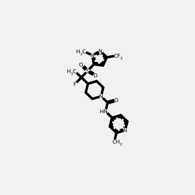 Cc1cc(NC(=O)N2CCC(C(C)(F)S(=O)(=O)c3cc(C(F)(F)F)nn3C)CC2)ccn1